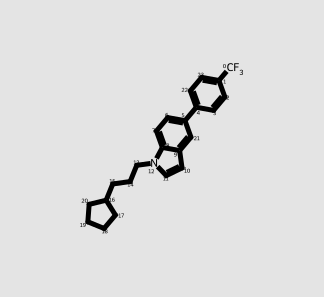 FC(F)(F)c1ccc(-c2ccc3c([c]cn3CCCC3CCCC3)c2)cc1